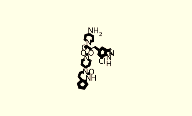 NC1CCN(C(=O)[C@@H](Cc2cc(Cl)c3[nH]ncc3c2)OC(=O)N2CCC(N3CCc4ccccc4NC3=O)CC2)CC1